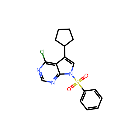 O=S(=O)(c1ccccc1)n1cc(C2CCCC2)c2c(Cl)ncnc21